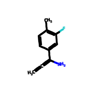 C=C=C(N)c1ccc(C)c(F)c1